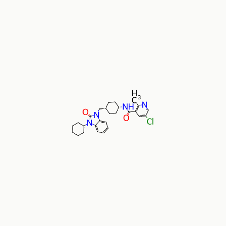 Cc1ncc(Cl)cc1C(=O)N[C@H]1CC[C@H](Cn2c(=O)n(C3CCCCC3)c3ccccc32)CC1